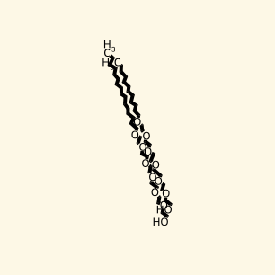 CCCCCCCCCCCCCCCCOCCOCCOCCOCCOCCOCCO.CCCCCCCCCCCCOCCOCCOCCOCCOCCOCCO